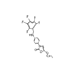 COc1nn(-c2ccc(NCc3c(F)c(F)c(F)c(F)c3F)cc2)c(=O)o1